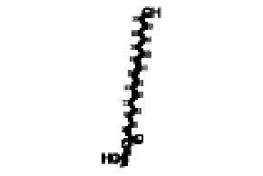 CC(O)COC(=O)CCCCCCCCCCCCCCCCCO